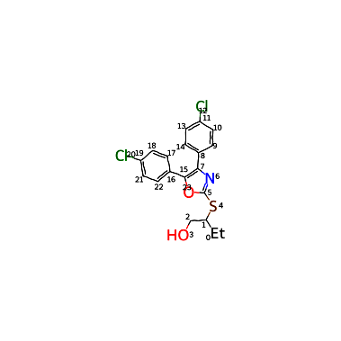 CCC(CO)Sc1nc(-c2ccc(Cl)cc2)c(-c2ccc(Cl)cc2)o1